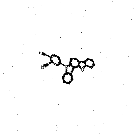 N#Cc1ccc(-n2c3ccccc3c3c4oc5ccccc5c4ccc32)cc1C#N